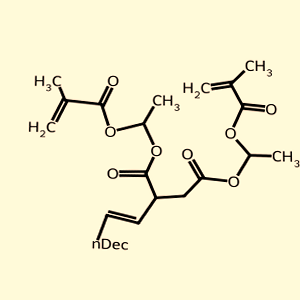 C=C(C)C(=O)OC(C)OC(=O)CC(/C=C/CCCCCCCCCC)C(=O)OC(C)OC(=O)C(=C)C